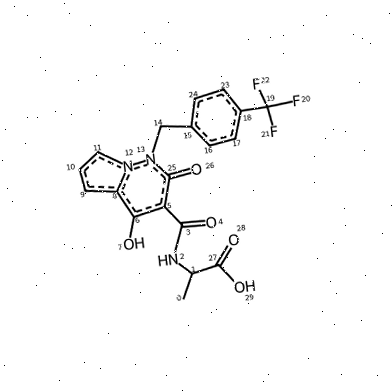 CC(NC(=O)c1c(O)c2cccn2n(Cc2ccc(C(F)(F)F)cc2)c1=O)C(=O)O